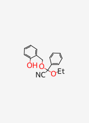 CCOC(C#N)(OCc1ccccc1O)c1ccccc1